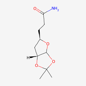 CC1(C)OC2O[C@H](CCC(N)=O)C[C@H]2O1